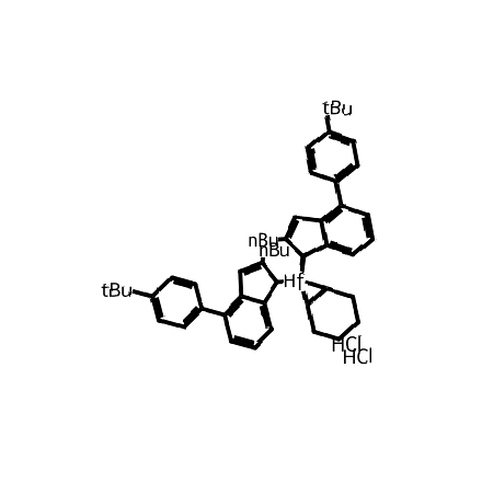 CCCCC1=Cc2c(-c3ccc(C(C)(C)C)cc3)cccc2[CH]1[Hf]1([CH]2C(CCCC)=Cc3c(-c4ccc(C(C)(C)C)cc4)cccc32)[CH]2CCCC[CH]21.Cl.Cl